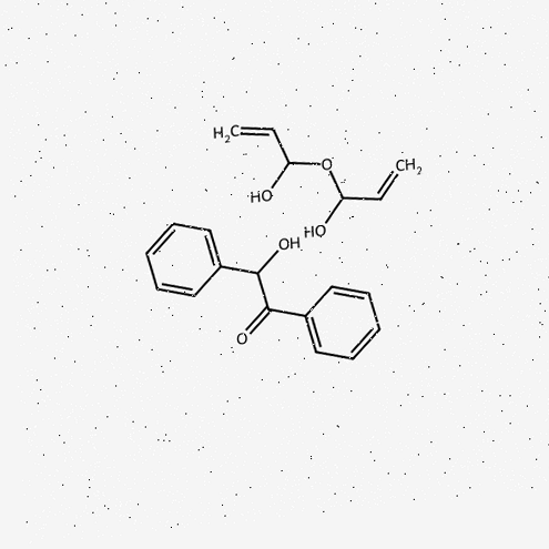 C=CC(O)OC(O)C=C.O=C(c1ccccc1)C(O)c1ccccc1